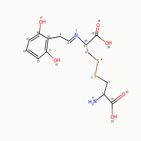 NC(CSSC[C@H](N=CCc1c(O)cccc1O)C(=O)O)C(=O)O